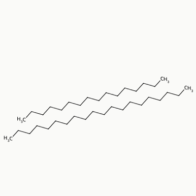 CCCCCCCCCCCCCCCC.CCCCCCCCCCCCCCCCCCCC